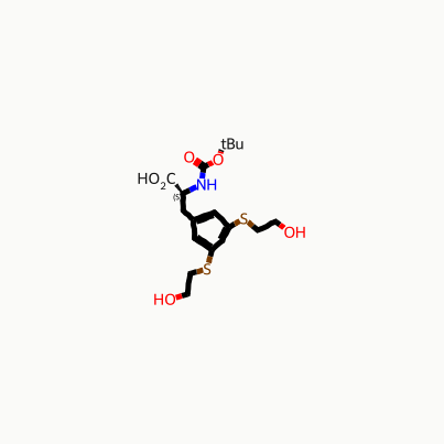 CC(C)(C)OC(=O)N[C@@H](Cc1cc(SCCO)cc(SCCO)c1)C(=O)O